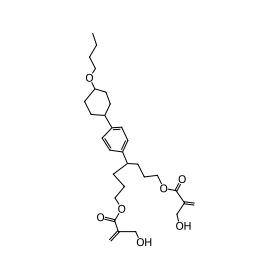 C=C(CO)C(=O)OCCCC(CCCOC(=O)C(=C)CO)c1ccc(C2CCC(OCCCC)CC2)cc1